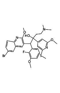 COc1cc(C(O)(CCN(C)C)C(c2cc3cc(Br)ccc3nc2OC)c2cccc(OC)c2F)cc(SC)n1